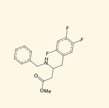 COC(=O)CC(Cc1cc(F)c(F)cc1F)NCc1ccccc1